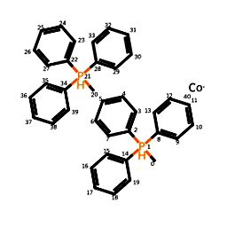 C[PH](c1ccccc1)(c1ccccc1)c1ccccc1.C[PH](c1ccccc1)(c1ccccc1)c1ccccc1.[Co]